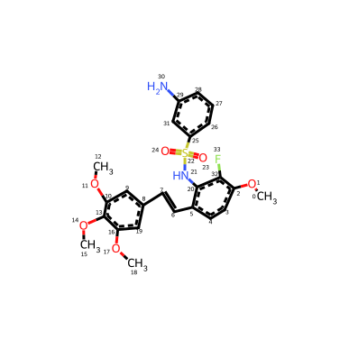 COc1ccc(C=Cc2cc(OC)c(OC)c(OC)c2)c(NS(=O)(=O)c2cccc(N)c2)c1F